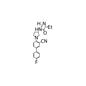 CC[C@H](N)C(=O)N[C@H]1CCN(c2ccc(-c3ccc(F)cc3)cc2C#N)C1